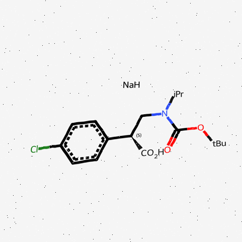 CC(C)N(C[C@@H](C(=O)O)c1ccc(Cl)cc1)C(=O)OC(C)(C)C.[NaH]